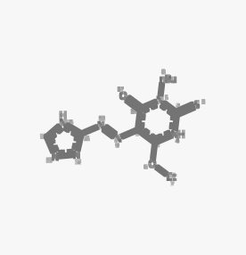 CCCCn1c(=S)[nH]c(OCC)c(/N=N/c2nnc[nH]2)c1=O